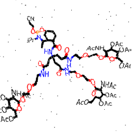 CC(=O)NC1C(OCCOCCNC(=O)CCC(CCC(=O)NCCOCCOC2OC(COC(C)=O)C(OC(C)=O)C(OC(C)=O)C2NC(C)=O)(CCC(=O)NCCOCCOC2OC(COC(C)=O)C(OC(C)=O)C(OC(C)=O)C2NC(C)=O)NC(=O)C2CCC3CC2C(C)N(C(C)C)P(OCCC#N)O3)OC(COC(C)=O)C(OC(C)=O)C1OC(C)=O